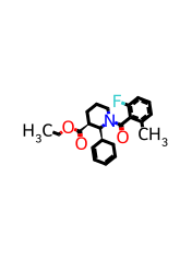 CCOC(=O)[C@H]1CCCN(C(=O)c2c(C)cccc2F)C1[C@@H]1C=CC=CC1